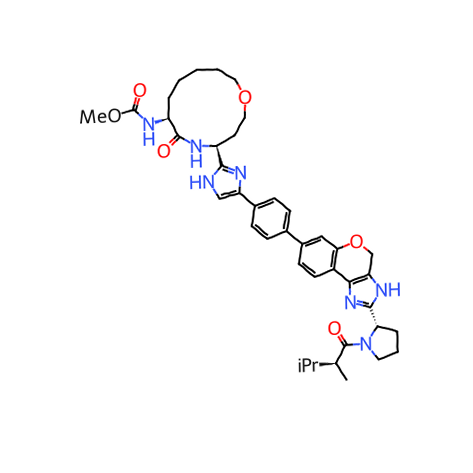 COC(=O)N[C@H]1CCCCCOCC[C@@H](c2nc(-c3ccc(-c4ccc5c(c4)OCc4[nH]c([C@@H]6CCCN6C(=O)[C@@H](C)C(C)C)nc4-5)cc3)c[nH]2)NC1=O